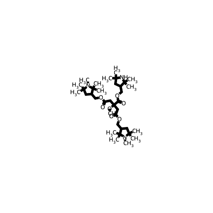 COC(CC(=O)OCC1CC(C)(C)N(C)C1(C)C)(CC(=O)OCC1CC(C)(C)N(C)C1(C)C)C(=O)OCC1CC(C)(C)NC1(C)C